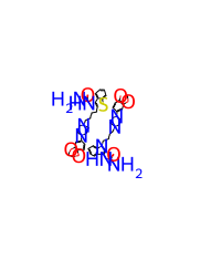 NC(=O)Nc1c(CCCCN2CCN(c3ccc4c(c3)OCCO4)CC2)sc2ccccc12.NC(=O)Nc1cn(CCCCN2CCN(c3ccc4c(c3)OCO4)CC2)c2ccccc12